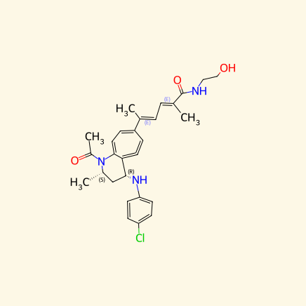 CC(=O)N1C2=CC=C(/C(C)=C/C=C(\C)C(=O)NCCO)C=C=C2[C@H](Nc2ccc(Cl)cc2)C[C@@H]1C